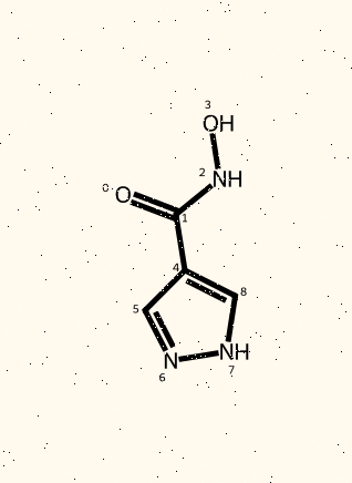 O=C(NO)c1cn[nH]c1